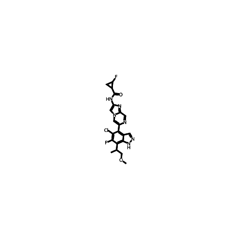 COCC(C)c1c(F)c(Cl)c(-c2cn3cc(NC(=O)C4CC4F)nc3cn2)c2cn[nH]c12